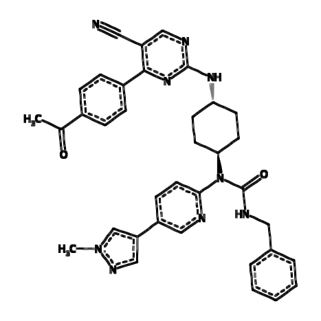 CC(=O)c1ccc(-c2nc(N[C@H]3CC[C@H](N(C(=O)NCc4ccccc4)c4ccc(-c5cnn(C)c5)cn4)CC3)ncc2C#N)cc1